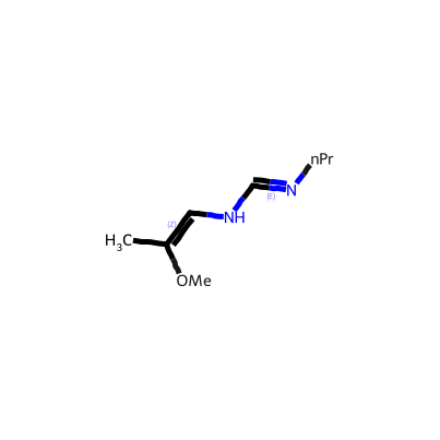 CCC/N=C/N/C=C(/C)OC